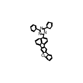 C1=CCC(c2nc(-c3ccccc3)nc(-c3ccc4c5c(cccc35)-c3cc5oc6ccccc6c5cc3-4)n2)C=C1